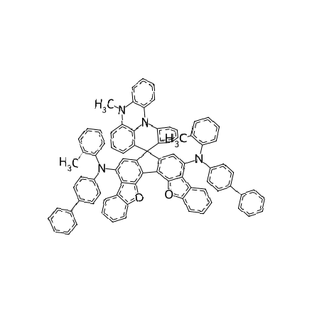 Cc1ccccc1N(c1ccc(-c2ccccc2)cc1)c1cc2c(c3oc4ccccc4c13)-c1c(cc(N(c3ccc(-c4ccccc4)cc3)c3ccccc3C)c3c1oc1ccccc13)C21c2ccccc2N2c3ccccc3N(C)c3cccc1c32